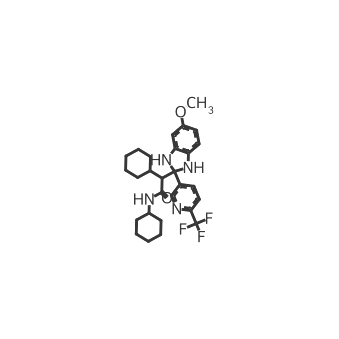 COc1ccc2c(c1)NC(c1ccc(C(F)(F)F)nc1)(C(C(=O)NC1CCCCC1)C1CCCCC1)N2